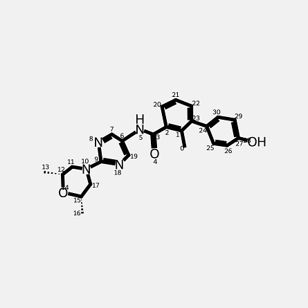 Cc1c(C(=O)Nc2cnc(N3C[C@@H](C)O[C@@H](C)C3)nc2)cccc1-c1ccc(O)cc1